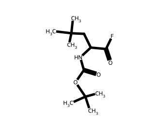 CC(C)(C)CC(NC(=O)OC(C)(C)C)C(=O)F